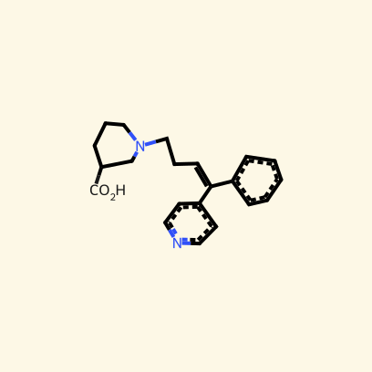 O=C(O)C1CCCN(CCC=C(c2ccccc2)c2ccncc2)C1